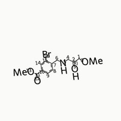 COC[C@H](O)CNCc1ccc(C(=O)OC)cc1Br